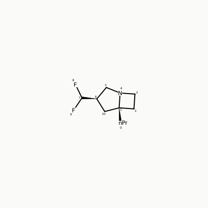 CCC[C@]12CCN1C[C@H](C(F)F)C2